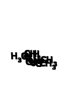 CC(C)CC(=O)Nc1cccc(O[C@@H]2CCN(C)[C@H](C)C2)n1